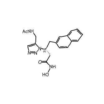 CC(=O)NCc1cnnn1[C@@H](CC(=O)NO)Cc1ccc2ccccc2c1